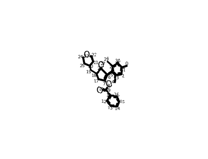 Cc1cc(C)c(C2=C(OC(=O)c3ccccc3)CC(CC3CCOCC3)C2=O)c(C)c1